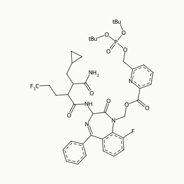 CC(C)(C)OP(=O)(OCc1cccc(C(=O)OCN2C(=O)C(NC(=O)C(CCC(F)(F)F)C(CC3CC3)C(N)=O)N=C(c3ccccc3)c3cccc(F)c32)n1)OC(C)(C)C